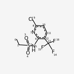 CCS(=O)(=O)Nc1nc(Cl)ccc1C(F)(F)F